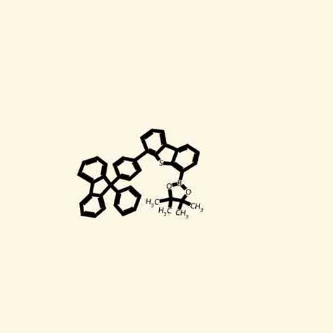 CC1(C)OB(c2cccc3c2sc2c(-c4ccc(C5(c6ccccc6)c6ccccc6-c6ccccc65)cc4)cccc23)OC1(C)C